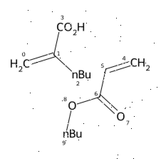 C=C(CCCC)C(=O)O.C=CC(=O)OCCCC